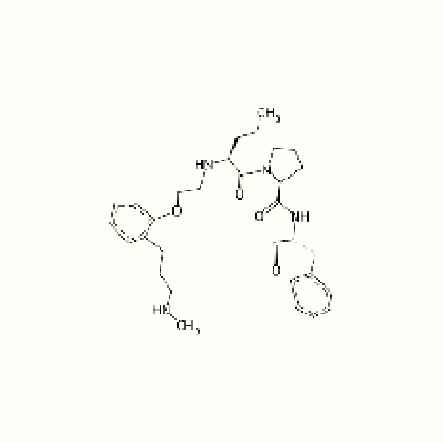 CCC[C@H](NCCOc1ccccc1CCCNC)C(=O)N1CCC[C@H]1C(=O)N[C@@H](C=O)Cc1ccccc1